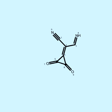 N#CC(C=N)=C1C(=O)C1=O